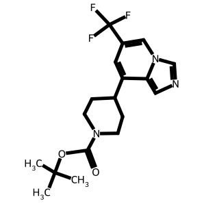 CC(C)(C)OC(=O)N1CCC(c2cc(C(F)(F)F)cn3cncc23)CC1